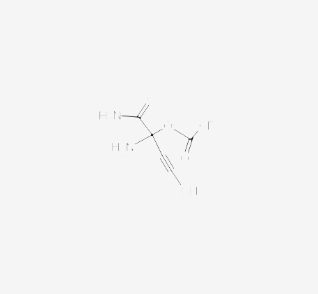 CC#CC(N)(OC(=O)C(F)(F)F)C(N)=O